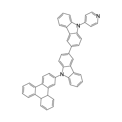 C1=CC2c3ccccc3-c3ccc(-n4c5ccccc5c5cc(-c6ccc7c(c6)c6ccccc6n7-c6ccncc6)ccc54)cc3C2C=C1